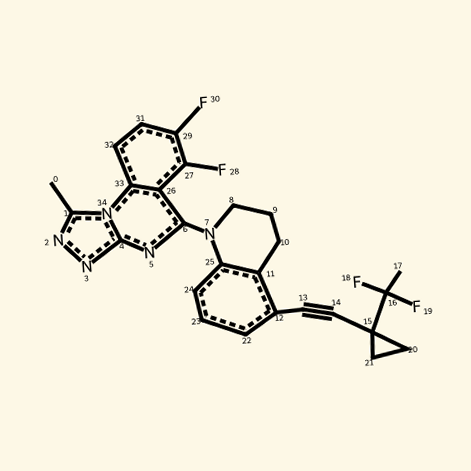 Cc1nnc2nc(N3CCCc4c(C#CC5(C(C)(F)F)CC5)cccc43)c3c(F)c(F)ccc3n12